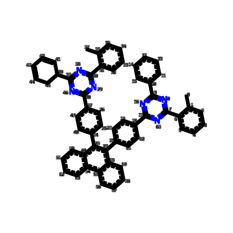 Cc1ccccc1-c1nc(-c2ccccc2)nc(-c2ccc(-c3c(-c4ccc(-c5nc(-c6ccccc6C)nc(C6C=CC=CC6)n5)cc4)c4ccccc4c4ccccc34)cc2)n1